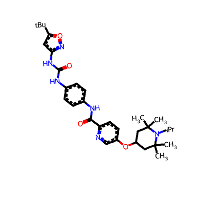 CC(C)N1C(C)(C)CC(Oc2ccc(C(=O)Nc3ccc(NC(=O)Nc4cc(C(C)(C)C)on4)cc3)nc2)CC1(C)C